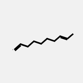 [CH]=CCCCCCC=CC